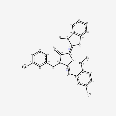 CCNc1ccc(C#N)cc1/N=C1\S/C(=C2\Sc3ccccc3N2C)C(=O)N1Cc1cccc(C(F)(F)F)c1